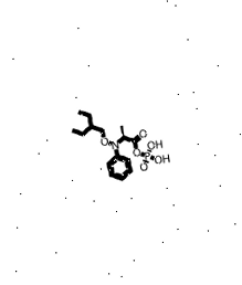 CCC(CC)CON(c1ccccc1)[C@@H](C)C(=O)OP(=O)(O)O